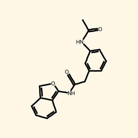 CC(=O)Nc1cccc(CC(=O)Nc2occ3ccccc23)c1